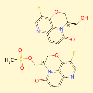 CS(=O)(=O)OC[C@@H]1COc2c(F)cnc3ccc(=O)n1c23.O=c1ccc2ncc(F)c3c2n1[C@H](CO)CO3